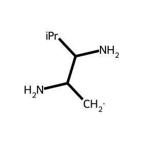 [CH2]C(N)C(N)C(C)C